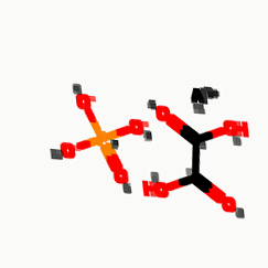 O=C(O)C(=O)O.O=P([O-])([O-])[O-].[Al+3]